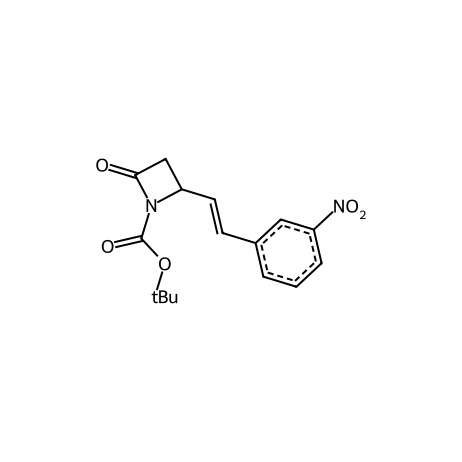 CC(C)(C)OC(=O)N1C(=O)CC1C=Cc1cccc([N+](=O)[O-])c1